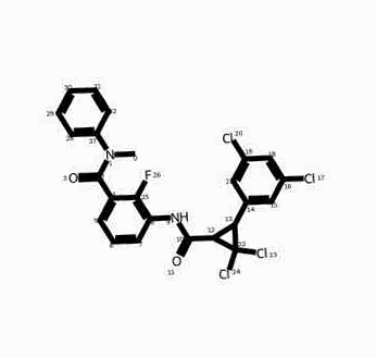 CN(C(=O)c1cccc(NC(=O)C2C(c3cc(Cl)cc(Cl)c3)C2(Cl)Cl)c1F)c1ccccc1